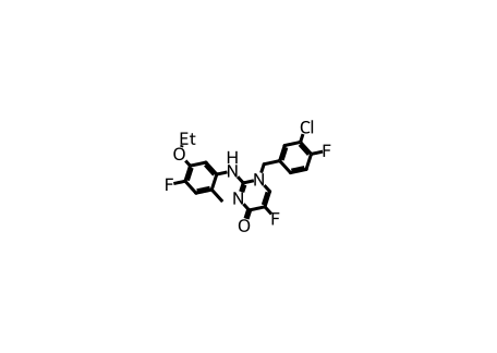 CCOc1cc(Nc2nc(=O)c(F)cn2Cc2ccc(F)c(Cl)c2)c(C)cc1F